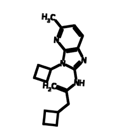 C=C(CC1CCC1)Nc1nc2ccc(C)nc2n1C1CCC1